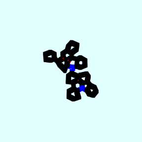 c1ccc(-c2ccc(N(c3ccc(-c4ccccc4-n4c5ccccc5c5ccccc54)cc3)c3ccccc3-c3cccc4ccccc34)cc2)cc1